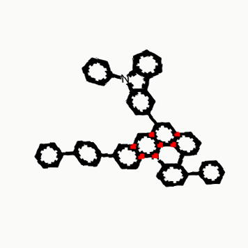 c1ccc(-c2ccc(-c3ccc(N(c4cccc(-c5ccc6c(c5)c5ccccc5n6-c5ccccc5)c4)c4cccc(-c5ccccc5)c4-c4ccccc4-c4ccccc4)cc3)cc2)cc1